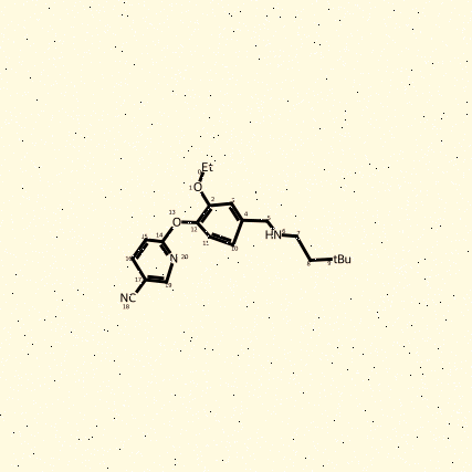 CCOc1cc(CNCCC(C)(C)C)ccc1Oc1ccc(C#N)cn1